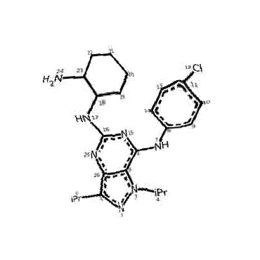 CC(C)c1nn(C(C)C)c2c(Nc3ccc(Cl)cc3)nc(NC3CCCCC3N)nc12